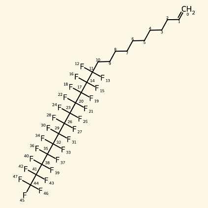 C=CCCCCCCCCCC(F)(F)C(F)(F)C(F)(F)C(F)(F)C(F)(F)C(F)(F)C(F)(F)C(F)(F)C(F)(F)C(F)(F)C(F)(F)C(F)(F)F